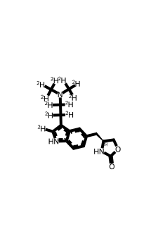 [2H]c1[nH]c2ccc(C[C@H]3COC(=O)N3)cc2c1C([2H])([2H])C([2H])([2H])N(C([2H])([2H])[2H])C([2H])([2H])[2H]